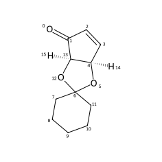 O=C1C=C[C@H]2OC3(CCCCC3)O[C@@H]12